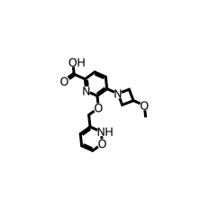 COC1CN(c2ccc(C(=O)O)nc2OCC2=CC=CON2)C1